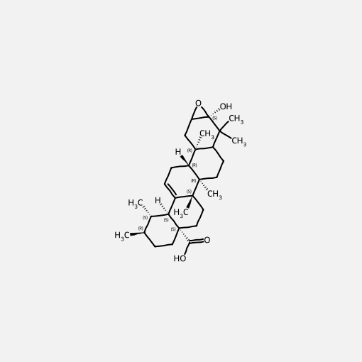 C[C@H]1[C@H](C)CC[C@]2(C(=O)O)CC[C@]3(C)C(=CC[C@@H]4[C@@]5(C)CC6O[C@@]6(O)C(C)(C)C5CC[C@]43C)[C@H]12